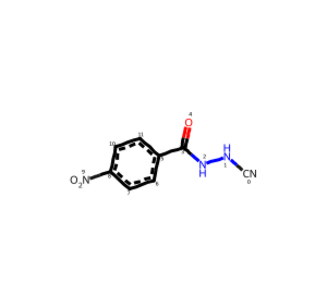 N#CNNC(=O)c1ccc([N+](=O)[O-])cc1